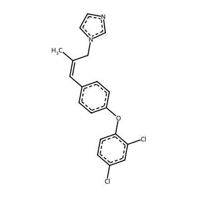 CC(=Cc1ccc(Oc2ccc(Cl)cc2Cl)cc1)Cn1ccnc1